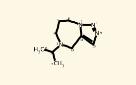 CC(C)N1CCCn2nncc2C1